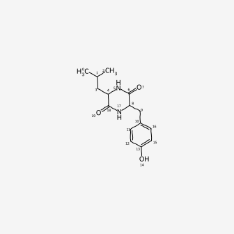 CC(C)CC1NC(=O)C(Cc2ccc(O)cc2)NC1=O